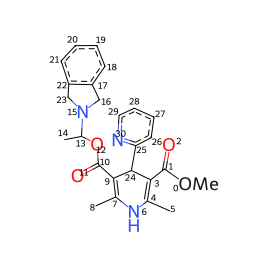 COC(=O)C1=C(C)NC(C)=C(C(=O)OC(C)N2Cc3ccccc3C2)C1c1ccccn1